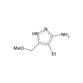 CCc1c(N)n[nH]c1COC